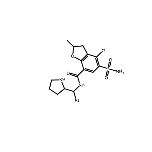 CCC(NC(=O)c1cc(S(N)(=O)=O)c(Cl)c2c1OC(C)C2)C1CCCN1